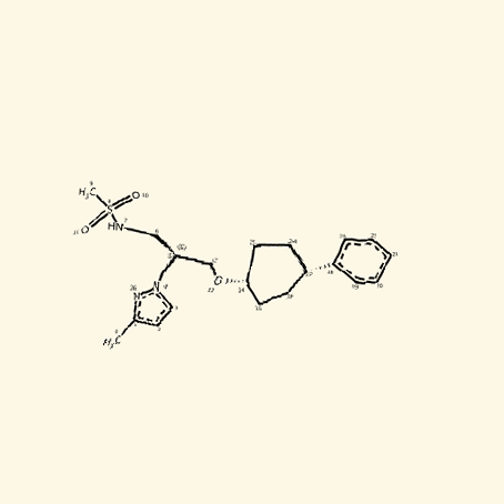 Cc1ccn([C@@H](CNS(C)(=O)=O)CO[C@H]2CC[C@@H](c3ccccc3)CC2)n1